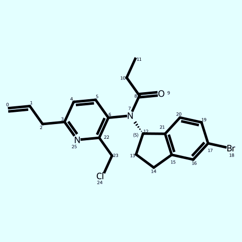 C=CCc1ccc(N(C(=O)CC)[C@H]2CCc3cc(Br)ccc32)c(CCl)n1